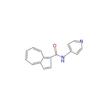 O=C(Nc1ccncc1)c1ccc2cccccc1-2